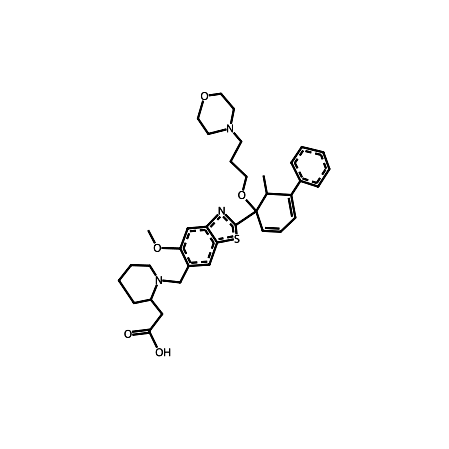 COc1cc2nc(C3(OCCCN4CCOCC4)C=CC=C(c4ccccc4)C3C)sc2cc1CN1CCCCC1CC(=O)O